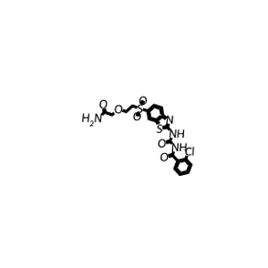 NC(=O)COCCS(=O)(=O)c1ccc2nc(NC(=O)NC(=O)c3ccccc3Cl)sc2c1